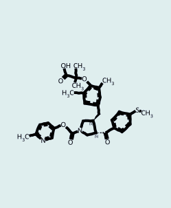 CSc1ccc(C(=O)[C@@H]2CN(C(=O)Oc3ccc(C)nc3)C[C@H]2Cc2cc(C)c(OC(C)(C)C(=O)O)c(C)c2)cc1